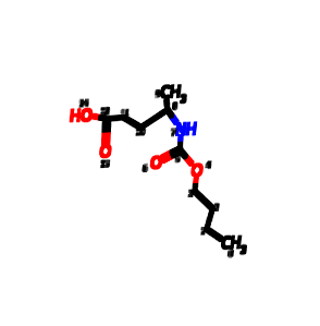 CCCCOC(=O)NC(C)CCC(=O)O